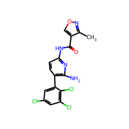 Cc1nocc1C(=O)Nc1ccc(-c2cc(Cl)cc(Cl)c2Cl)c(N)n1